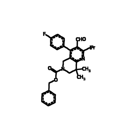 CC(C)c1nc2c(c(-c3ccc(F)cc3)c1C=O)CN(C(=O)OCc1ccccc1)CC2(C)C